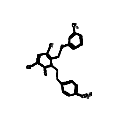 O=C(O)c1ccc(CCn2c(CSc3cccc(C(F)(F)F)c3)c(Cl)cc(Cl)c2=O)cc1